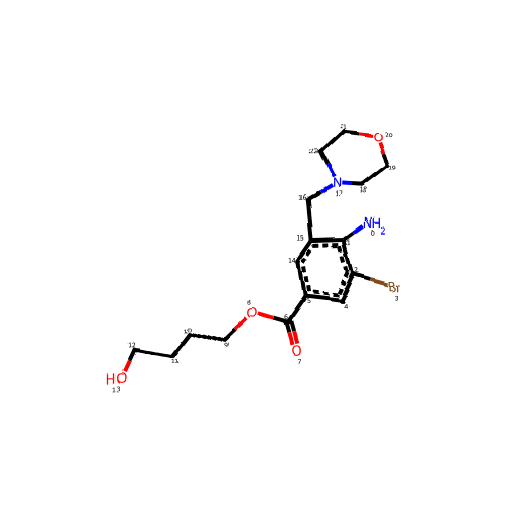 Nc1c(Br)cc(C(=O)OCCCCO)cc1CN1CCOCC1